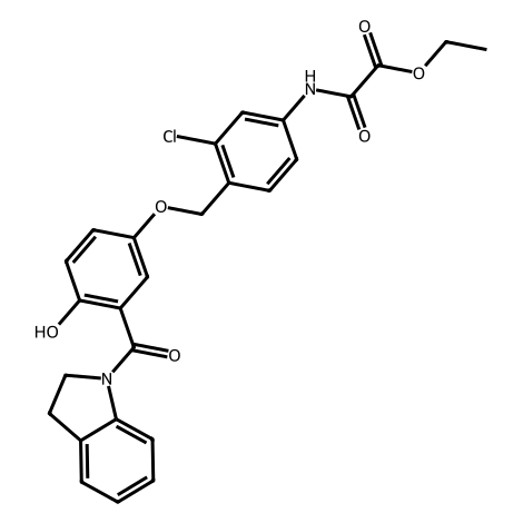 CCOC(=O)C(=O)Nc1ccc(COc2ccc(O)c(C(=O)N3CCc4ccccc43)c2)c(Cl)c1